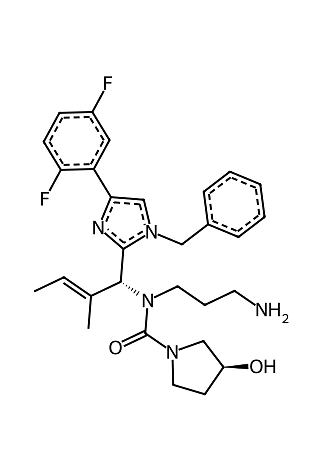 CC=C(C)[C@H](c1nc(-c2cc(F)ccc2F)cn1Cc1ccccc1)N(CCCN)C(=O)N1CC[C@H](O)C1